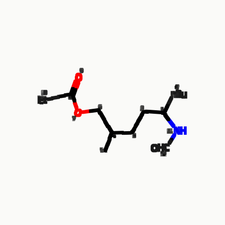 CCCCC(CCC(C)COC(=O)CC)NC=O